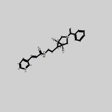 CC(c1ccccc1)N1C[C@@H]2C(CCNC(=O)/C=C/c3cccnc3)[C@@H]2C1